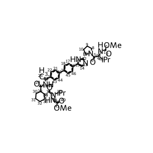 COC(=O)N[C@H](C(=O)N1CCC[C@H]1c1ncc(-c2ccc(-c3ccc([C@H](C)NC(=O)C4CCCC[C@H]4C(=O)N(NC(=O)OC)C(C)C)cc3)cc2)[nH]1)C(C)C